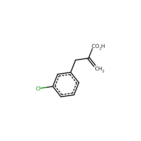 C=C(Cc1cccc(Cl)c1)C(=O)O